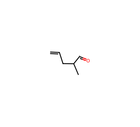 C=CCC(C)[C]=O